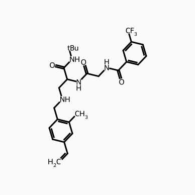 C=Cc1ccc(CNCC(NC(=O)CNC(=O)c2cccc(C(F)(F)F)c2)C(=O)NC(C)(C)C)c(C)c1